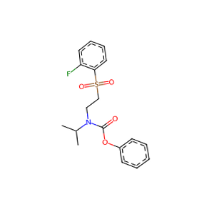 CC(C)N(CCS(=O)(=O)c1ccccc1F)C(=O)Oc1ccccc1